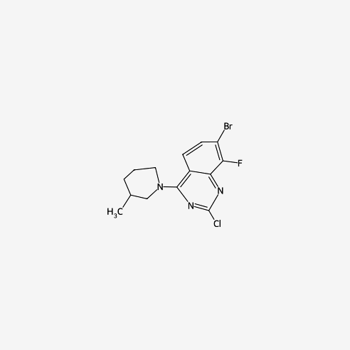 CC1CCCN(c2nc(Cl)nc3c(F)c(Br)ccc23)C1